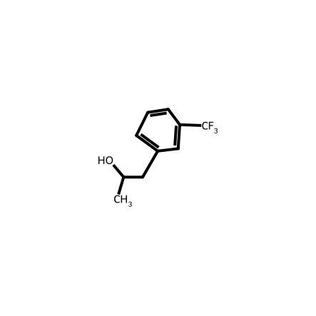 CC(O)Cc1cccc(C(F)(F)F)c1